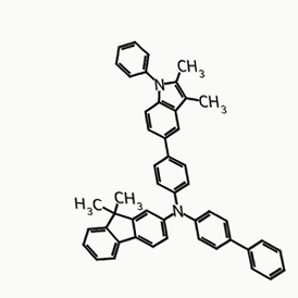 Cc1c(C)n(-c2ccccc2)c2ccc(-c3ccc(N(c4ccc(-c5ccccc5)cc4)c4ccc5c(c4)C(C)(C)c4ccccc4-5)cc3)cc12